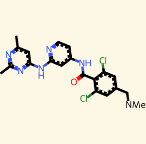 CNCc1cc(Cl)c(C(=O)Nc2ccnc(Nc3cc(C)nc(C)n3)c2)c(Cl)c1